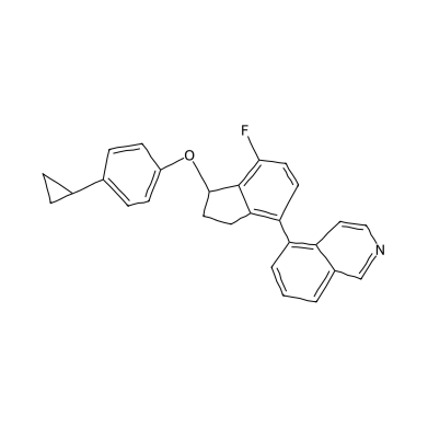 Fc1ccc(-c2cccc3cnccc23)c2c1C(Oc1ccc(C3CC3)cc1)CC2